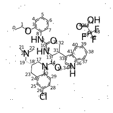 CCOc1ccccc1NC(=O)NC(C(=O)N1C[C@@H](CN(C)C)Cc2cc(Cl)ccc21)C(C)c1c[nH]c2ccccc12.O=C(O)C(F)(F)F